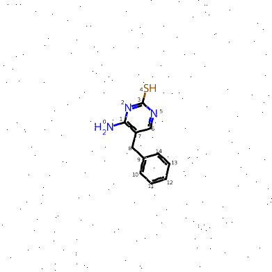 Nc1nc(S)ncc1Cc1ccccc1